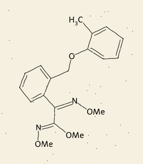 CON=C(OC)C(=NOC)c1ccccc1COc1ccccc1C